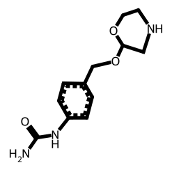 NC(=O)Nc1ccc(COC2CNCCO2)cc1